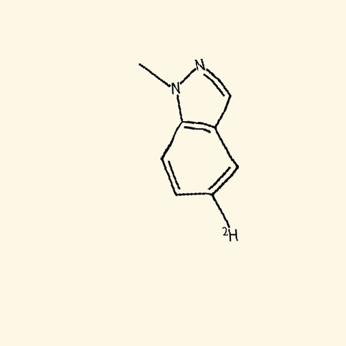 [2H]c1ccc2c(cnn2C)c1